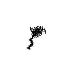 CC(=CCCOC1OC(CO)C(OC2OC(CO)C(O)C(O)C2O)C(O)C1O)CCCC(C)CCCC(C)C